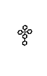 [c]1ccc(-c2ccc([Si](c3ccccc3)(c3ccccc3)c3ccccc3)cc2)cc1